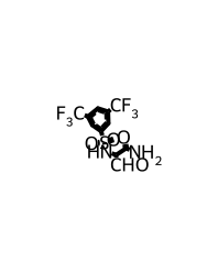 NC(=O)C(C=O)NS(=O)(=O)c1cc(C(F)(F)F)cc(C(F)(F)F)c1